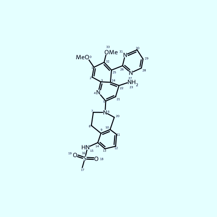 COc1cc2nc(N3CCc4c(cccc4NS(C)(=O)=O)C3)cc(N)c2c(-c2ncccn2)c1OC